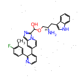 Cc1cc(-c2ncccc2-c2ccn3c(C(O)OC[C@H](N)Cc4c[nH]c5ccccc45)ncc3c2)ccc1F